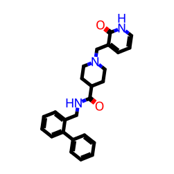 O=C(NCc1ccccc1-c1ccccc1)C1CCN(Cc2ccc[nH]c2=O)CC1